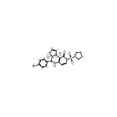 O=C1C2=C(C=CC1S(=O)(=O)N1CCCC1)N[C@@H](c1ccc(Br)cc1)[C@H]1CC=C[C@@H]21